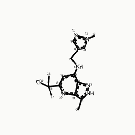 Cc1[nH]nc2c(NCc3cnn(C)c3)cc(C(C)(C)Cl)nc12